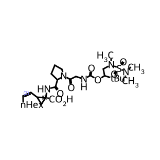 CCCCCC/C=C\C1C[C@]1(NC(=O)C1CCCN1C(=O)CNC(=O)OC(CN(C)S(=O)(=O)N(C)C)C(C)(C)C)C(=O)O